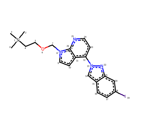 C[Si](C)(C)CCOCn1ccc2c(-n3cc4ccc(I)cc4n3)ccnc21